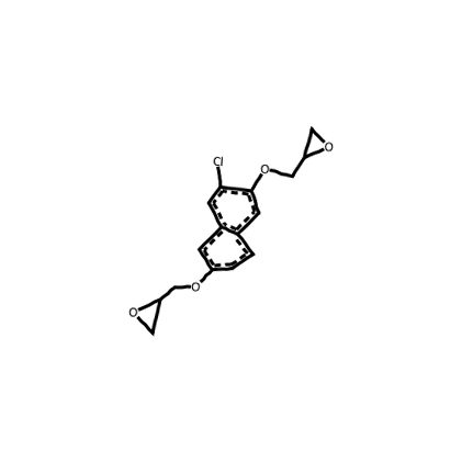 Clc1cc2cc(OCC3CO3)ccc2cc1OCC1CO1